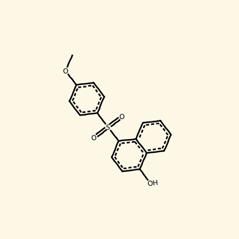 COc1ccc(S(=O)(=O)c2ccc(O)c3ccccc23)cc1